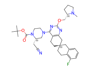 CN1CCC[C@H]1COc1nc2c(c(N3CCN(C(=O)OC(C)(C)C)[C@@H](CC#N)C3)n1)CC[C@@]1(CCc3c(F)cccc3C1)C2